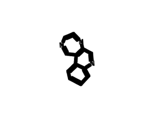 C1=CN=Cc2c(cnc3ccccc23)N=1